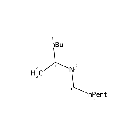 CCCCCC[N]C(C)CCCC